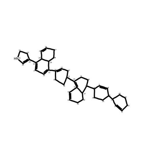 C1=CC(C2C=CC(C3CCC(C4CC=C(C5=CC=C(C6=CNCC6)C6C=CCCC56)CC4)=C4C=CCCC43)CC2)CCC1